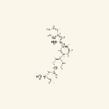 CN(C)CC(=O)N1CCN(c2cccc(-c3nc4ccccc4[nH]3)c2)CC1